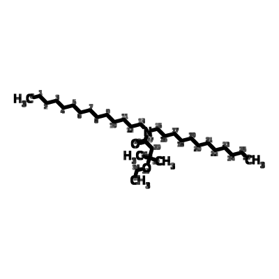 CCCCCCCCCCCCCCN(CCCCCCCCCCCC)C(=O)CC(C)(C)OCC